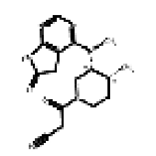 C[C@@H]1CCN(C(=O)CC#N)C[C@@H]1N(C)c1ncnc2c1CC(=O)N2